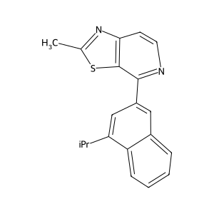 Cc1nc2ccnc(-c3cc(C(C)C)c4ccccc4c3)c2s1